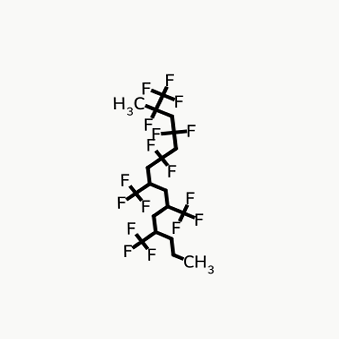 CCCC(CC(CC(CC(F)(F)CC(F)(F)CC(C)(F)C(F)(F)F)C(F)(F)F)C(F)(F)F)C(F)(F)F